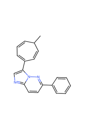 CC1C=CC=C(c2cnc3ccc(-c4ccccc4)nn23)C=C1